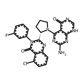 Nc1nc(N2CCC[C@H]2c2nc3cccc(Cl)c3c(=O)n2-c2cccc(F)c2)c2c(=O)nc[nH]c2n1